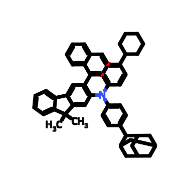 CC1(C)c2ccccc2-c2cc(-c3cccc4ccccc34)c(N(c3ccc(C4CCCCC4)cc3)c3ccc(C4C5CC6CC(C5)CC4C6)cc3)cc21